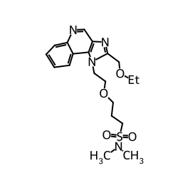 CCOCc1nc2cnc3ccccc3c2n1CCOCCCS(=O)(=O)N(C)C